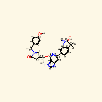 COc1ccc([C@@H](C)N2C[C@H]([C@@H](C)Oc3nc(-c4ccc5c(c4)N(C)C(=O)C5(C)C)cc4nc[nH]c34)CC2=O)cc1